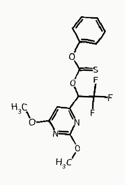 COc1cc(C(OC(=S)Oc2ccccc2)C(F)(F)F)nc(OC)n1